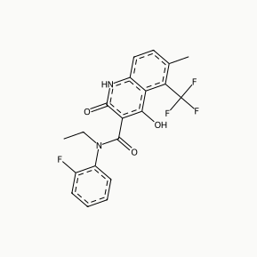 CCN(C(=O)c1c(O)c2c(C(F)(F)F)c(C)ccc2[nH]c1=O)c1ccccc1F